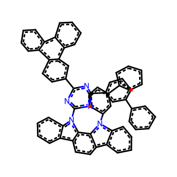 c1ccc(-c2cccc(-c3nc(-c4ccc5c6ccccc6c6ccccc6c5c4)nc(-n4c5ccccc5c5ccc6c7ccccc7n(-c7cccc(-c8ccccc8)c7)c6c54)n3)c2)cc1